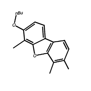 CCCCOc1ccc2c(oc3c(C)c(C)ccc32)c1C